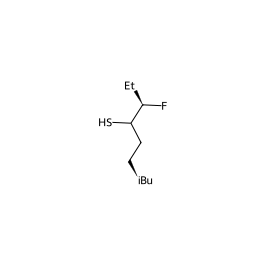 CC[C@H](C)CCC(S)[C@H](F)CC